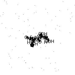 O=CNc1nc(C(=NOC2C=CCC2)C(=O)NC2C(=O)N3CC(CSN4N=CN(CC(=O)O)N4)(C(=O)O)CS[C@H]23)cs1